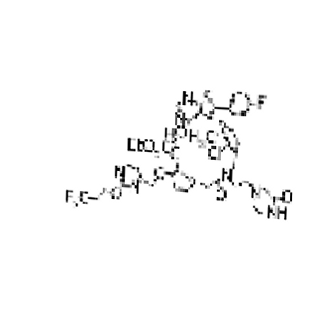 CCOC(=O)[C@H]1Cc2cc(ccc2OCc2ccnc(OCCC(F)(F)F)n2)CC(=O)N(CCN2CCNC(=O)C2)Cc2ccc(c(C)c2Cl)-c2c(-c3ccc(F)cc3)sc3ncnc(c23)O1